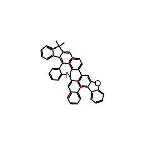 CC1(C)c2ccccc2-c2c(-c3ccccc3N(c3ccc4ccccc4c3)c3ccccc3-c3ccc4c(c3)oc3ccccc34)cccc21